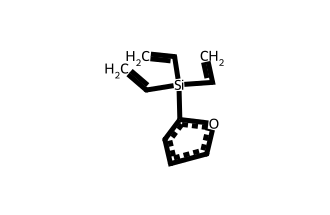 C=C[Si](C=C)(C=C)c1ccco1